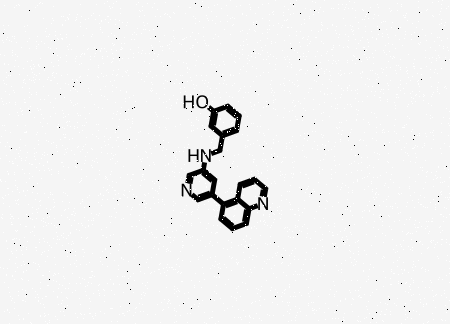 Oc1cccc(CNc2cncc(-c3cccc4ncccc34)c2)c1